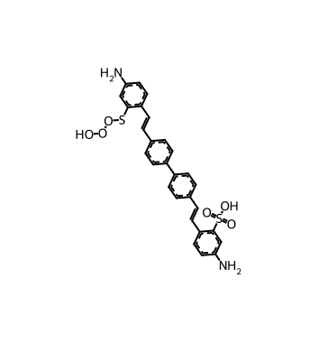 Nc1ccc(C=Cc2ccc(-c3ccc(C=Cc4ccc(N)cc4S(=O)(=O)O)cc3)cc2)c(SOOO)c1